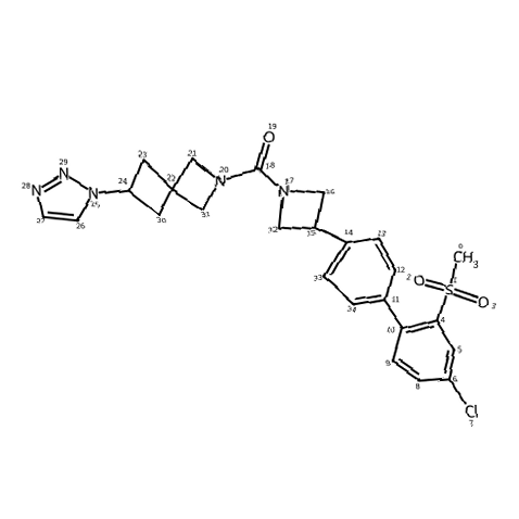 CS(=O)(=O)c1cc(Cl)ccc1-c1ccc(C2CN(C(=O)N3CC4(CC(n5ccnn5)C4)C3)C2)cc1